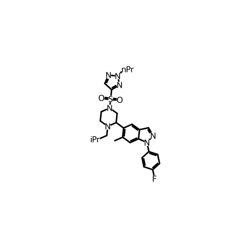 CCCn1ncc(S(=O)(=O)N2CCN(CC(C)C)C(c3cc4cnn(-c5ccc(F)cc5)c4cc3C)C2)n1